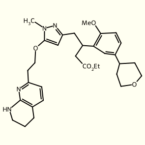 CCOC(=O)CC(Cc1cc(OCCc2ccc3c(n2)NCCC3)n(C)n1)c1cc(C2CCOCC2)ccc1OC